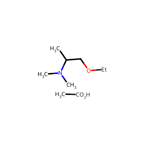 CC(=O)O.CCOCC(C)N(C)C